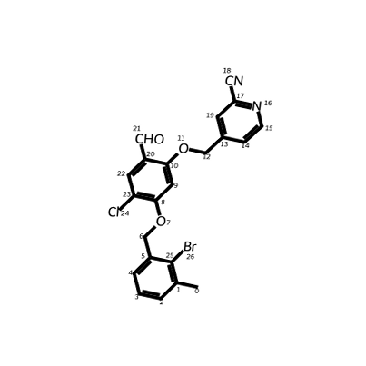 Cc1cccc(COc2cc(OCc3ccnc(C#N)c3)c(C=O)cc2Cl)c1Br